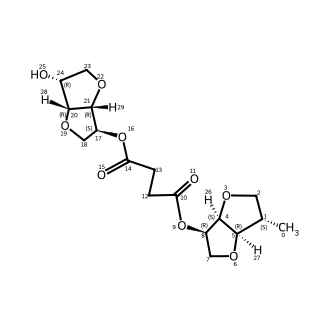 C[C@H]1CO[C@H]2[C@@H]1OC[C@H]2OC(=O)CCC(=O)O[C@H]1CO[C@H]2[C@@H]1OC[C@H]2O